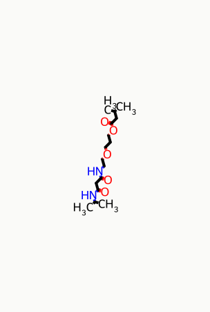 CC(C)CC(=O)OCCCOCCNC(=O)CC(=O)NC(C)C